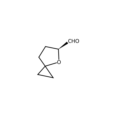 O=C[C@@H]1CCC2(CC2)O1